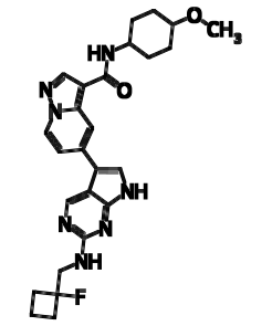 COC1CCC(NC(=O)c2cnn3ccc(-c4c[nH]c5nc(NCC6(F)CCC6)ncc45)cc23)CC1